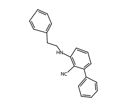 N#Cc1c(NCCc2ccccc2)cccc1-c1ccccc1